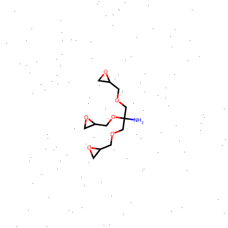 NC(COCC1CO1)(COCC1CO1)OCC1CO1